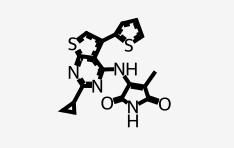 CC1=C(Nc2nc(C3CC3)nc3scc(-c4cccs4)c23)C(=O)NC1=O